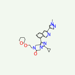 Cn1cc(-c2cc3cccc(-c4nc(C5CC5)n5c4CN(CCOC4CCCCO4)C(=O)C5)c3cn2)cn1